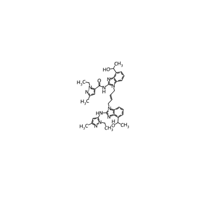 CCn1nc(C)cc1Nc1nc2c(C(C)O)cccc2n1C/C=C/Cn1c(NC(=O)c2cc(C)nn2CC)nc2c(C(C)O)cccc21